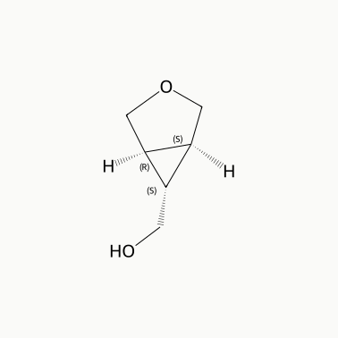 OC[C@@H]1[C@H]2COC[C@@H]12